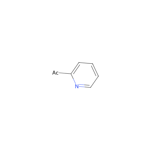 [CH2]C(=O)c1ccccn1